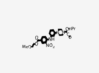 CCCOC(=C=O)N1CCN(c2cccc(Nc3ccc(C(=O)OCCOC)cc3[N+](=O)[O-])c2)CC1